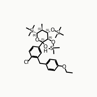 CCOc1ccc(Cc2cc([C@]3(O)O[C@H]([Si](C)(C)C)[C@@H](C)[C@H](O[Si](C)(C)C)[C@H]3O[Si](C)(C)C)ccc2Cl)cc1